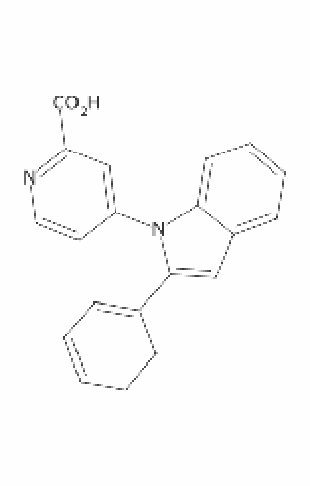 O=C(O)c1cc(-n2c(C3=CC=CCC3)cc3ccccc32)ccn1